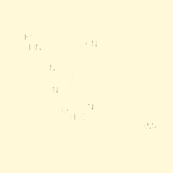 CCNc1ccc(C#N)cc1N=C1SC(=C2SC=C(c3cccc(OC)c3)N2C)C(=O)N1Cc1ccccc1